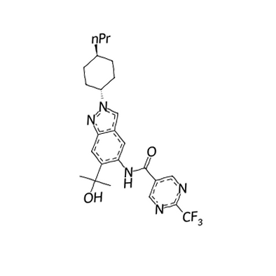 CCC[C@H]1CC[C@H](n2cc3cc(NC(=O)c4cnc(C(F)(F)F)nc4)c(C(C)(C)O)cc3n2)CC1